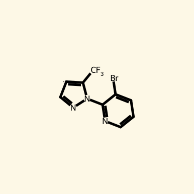 FC(F)(F)c1[c]cnn1-c1ncccc1Br